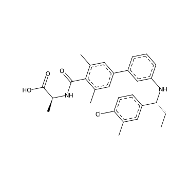 CC[C@@H](Nc1cccc(-c2cc(C)c(C(=O)N[C@@H](C)C(=O)O)c(C)c2)c1)c1ccc(Cl)c(C)c1